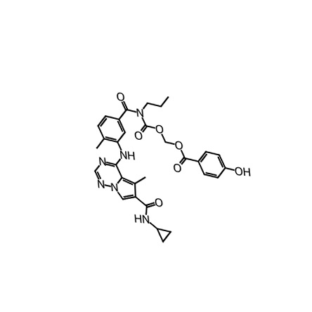 CCCN(C(=O)OCOC(=O)c1ccc(O)cc1)C(=O)c1ccc(C)c(Nc2ncnn3cc(C(=O)NC4CC4)c(C)c23)c1